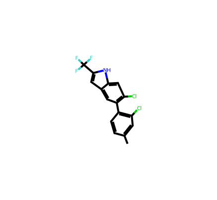 Cc1ccc(-c2cc3cc(C(F)(F)F)[nH]c3cc2Cl)c(Cl)c1